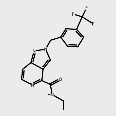 CCNC(=O)c1nccc2nn(Cc3cccc(C(F)(F)F)c3)cc12